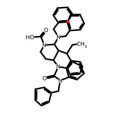 CCC(c1ccccc1)C1C(N(Cc2ccccc2)Cc2ccccc2)N(C(=O)O)CCC1n1c(=O)n(Cc2ccccc2)c2ccccc21